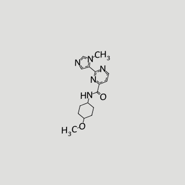 COC1CCC(NC(=O)c2ccnc(-c3cncn3C)n2)CC1